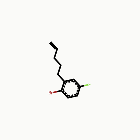 C=CCCCc1cc(F)ccc1Br